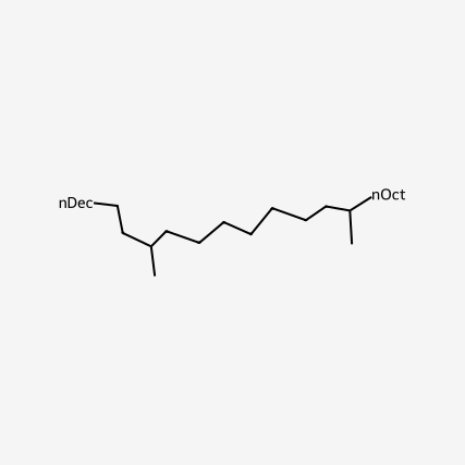 CCCCCCCCCCCCC(C)CCCCCCCC(C)CCCCCCCC